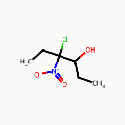 CCC(O)C(Cl)(CC)[N+](=O)[O-]